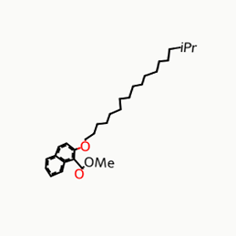 COC(=O)c1c(OCCCCCCCCCCCCCCCC(C)C)ccc2ccccc12